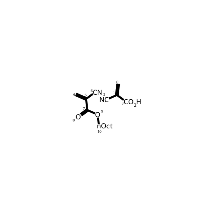 C=C(C#N)C(=O)O.C=C(C#N)C(=O)OCCCCCCCC